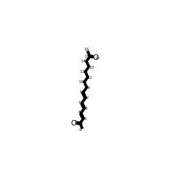 CC(=O)C=CC=CC=CCCCCCCC(C)=O